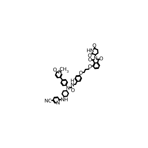 Cn1cc(-c2ccc(N(C(=O)NCc3ccc(OCCCOc4cccc5c4C(=O)N(C4CCC(=O)NC4=O)C5=O)cc3)[C@H]3CC[C@H](Nc4ccc(C#N)cn4)CC3)cc2)ccc1=O